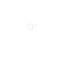 CCCC12N(COC3CCC(C4CCCCC4)CC3)C(=O)N(COC3CCC(C4CCCCC4)CC3)C1(C)N(COC1CCC(C3CCCCC3)CC1)C(=O)N2COC1CCC(C2CCCCC2)CC1